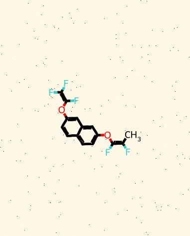 C/C(F)=C(/F)Oc1ccc2ccc(OC(F)=C(F)F)cc2c1